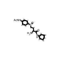 CC(=O)Nc1ccc([S+]([O-])CCC(N)C(=O)Nc2ccccc2)cc1